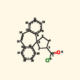 O=C(Cl)C1CCC2(C1)c1ccccc1C=Cc1ccccc12